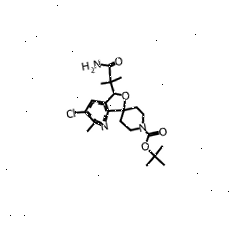 Cc1nc2c(cc1Cl)C(C(C)(C)C(N)=O)OC21CCN(C(=O)OC(C)(C)C)CC1